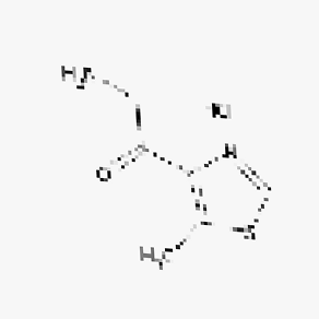 Cc1scnc1C(=O)CN.Cl